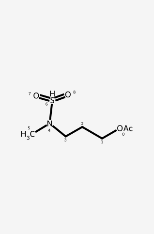 CC(=O)OCCCN(C)[SH](=O)=O